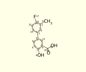 Cc1cc(-c2ccc(O)c(C(=O)O)c2)ccc1F